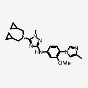 COc1cc(Nc2nc(N(CC3CC3)CC3CC3)n(C)n2)ccc1-n1cnc(C)c1